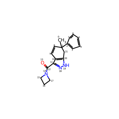 CC1(c2ccccc2)C=Cc2c(C(=O)N3CCC3)n[nH]c2C1